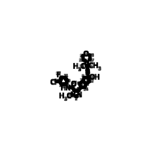 Cn1cnc(C2CC3CC(O)(C#CC(C)(C)N4CCOCC4)CC3C2)c1C(=O)Nc1ccc(F)c(Cl)c1